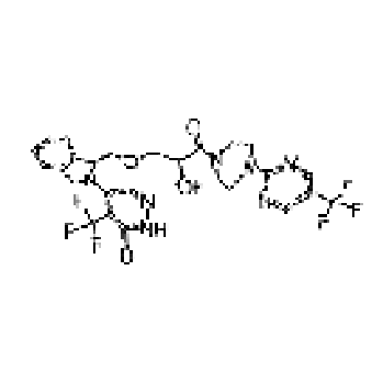 O=C([C@@H](O)COC[C@@H]1c2ccccc2CN1c1cn[nH]c(=O)c1C(F)(F)F)N1CCN(c2ncc(C(F)(F)F)cn2)CC1